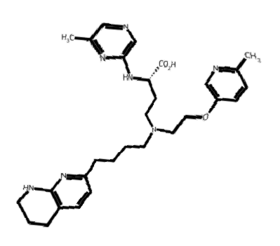 Cc1ccc(OCCN(CCCCc2ccc3c(n2)NCCC3)CC[C@H](Nc2cncc(C)n2)C(=O)O)cn1